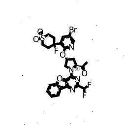 CC(=O)[C@@H]1C[C@H](Oc2ncc(Br)cc2C2(F)CCS(=O)(=O)CC2)CN1c1nc(C(F)F)nc2c1oc1ccccc12